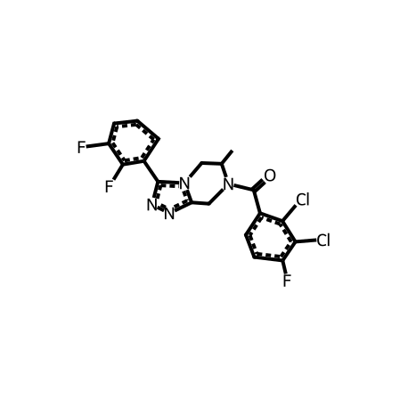 CC1Cn2c(nnc2-c2cccc(F)c2F)CN1C(=O)c1ccc(F)c(Cl)c1Cl